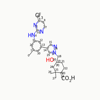 Cc1cc(Nc2nccc(C(F)(F)F)n2)cc(-c2cnn(C[C@@]3(O)CC[C@H](C(=O)O)C(C)(C)C3)c2)c1